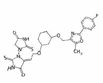 Cc1oc(-c2ccc(F)cc2)nc1COC1CCCC(OCC=C2C(=O)NC(=S)N2N2CC(=O)NC2=S)C1